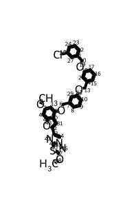 COc1cc(OCc2cccc(OCc3cccc(OCc4cccc(Cl)c4)c3)c2)c2cc(-c3cn4nc(OC)sc4n3)oc2c1